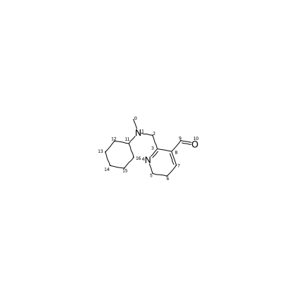 CN(CC1=NCCC=C1C=O)C1CCCCC1